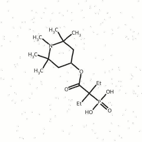 CCC(CC)(C(=O)OC1CC(C)(C)N(C)C(C)(C)C1)P(=O)(O)O